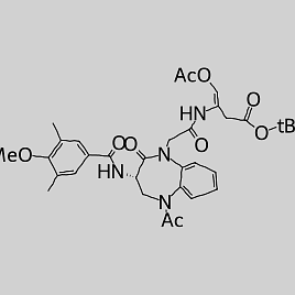 COc1c(C)cc(C(=O)N[C@H]2CN(C(C)=O)c3ccccc3N(CC(=O)N/C(=C\OC(C)=O)CC(=O)OC(C)(C)C)C2=O)cc1C